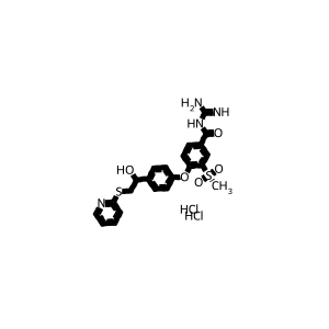 CS(=O)(=O)c1cc(C(=O)NC(=N)N)ccc1Oc1ccc(C(O)CSc2ccccn2)cc1.Cl.Cl